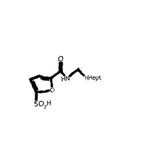 CCCCCCCCNC(=O)c1ccc(S(=O)(=O)O)o1